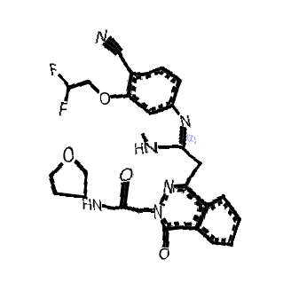 CN/C(Cc1nn(CC(=O)NC2CCOC2)c(=O)c2ccccc12)=N\c1ccc(C#N)c(OCC(F)F)c1